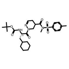 Cc1ccc(S(=O)(=O)N(C)C(=O)C2CC=NN(C(=O)[C@H](CC3CCCCC3)NC(=O)OC(C)(C)C)C2)cc1